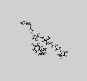 CCCCCCCCCCCCCC[C@H]1CO[C@H](COC(=O)OCCCCC[n+]2ccsc2)C1.Cc1ccc(S(=O)(=O)[O-])cc1